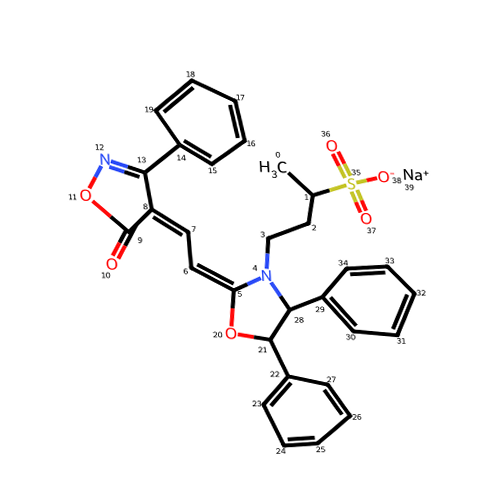 CC(CCN1C(=CC=C2C(=O)ON=C2c2ccccc2)OC(c2ccccc2)C1c1ccccc1)S(=O)(=O)[O-].[Na+]